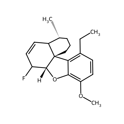 CCc1ccc(OC)c2c1[C@@]13CCC[C@@H](C)C1C=CC(F)[C@H]3O2